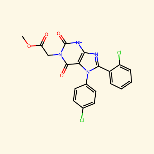 COC(=O)Cn1c(=O)[nH]c2nc(-c3ccccc3Cl)n(-c3ccc(Cl)cc3)c2c1=O